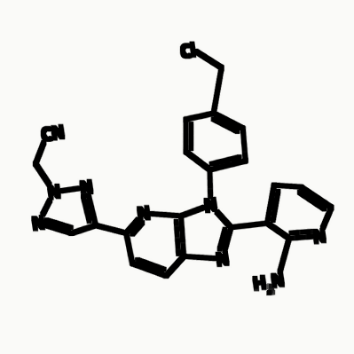 N#CCn1ncc(-c2ccc3nc(-c4cccnc4N)n(-c4ccc(CCl)cc4)c3n2)n1